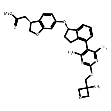 COC(=O)C[C@@H]1COc2cc(O[C@@H]3CCc4c(-c5c(C)nc(OCC6(C)COC6)nc5C)cccc43)ccc21